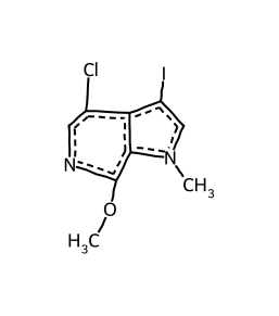 COc1ncc(Cl)c2c(I)cn(C)c12